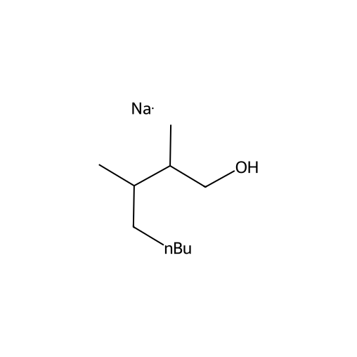 CCCCCC(C)C(C)CO.[Na]